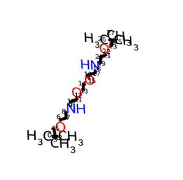 CC(C)(C)COCCCNCCOCCOCCNCCCOCC(C)(C)C